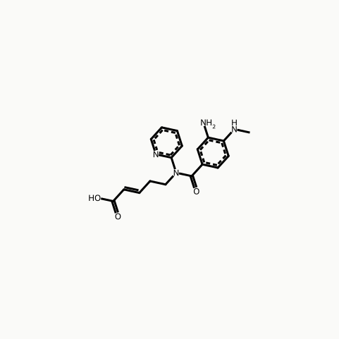 CNc1ccc(C(=O)N(CCC=CC(=O)O)c2ccccn2)cc1N